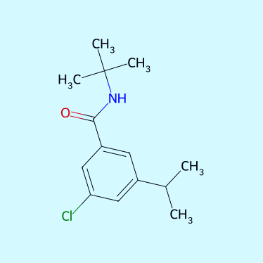 CC(C)c1cc(Cl)cc(C(=O)NC(C)(C)C)c1